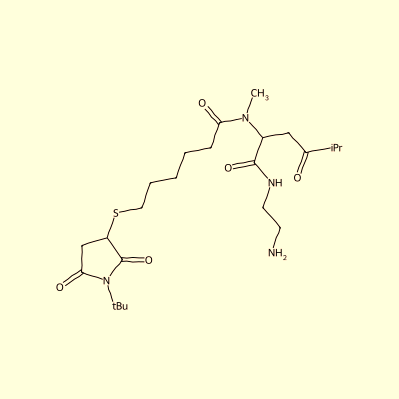 CC(C)C(=O)CC(C(=O)NCCN)N(C)C(=O)CCCCCSC1CC(=O)N(C(C)(C)C)C1=O